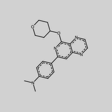 CN(C)c1ccc(-c2cc3nccnc3c(OC3CCOCC3)n2)cc1